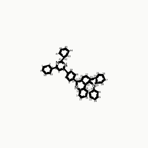 c1ccc(-c2cc(-c3ccc(-c4nc5ccccc5c5c4ccc4c6ccccc6n(-c6ccccc6)c45)cc3)nc(-c3ccccc3)n2)cc1